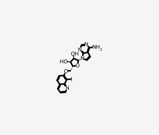 Nc1ncnc2c1ccn2[C@@H]1O[C@H](COc2ccc3cccnc3c2I)[C@@H](O)[C@H]1O